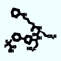 O=C(O)C(F)(F)F.O=C(O)CC[C@@H](NC(=O)CCCCNc1ccccn1)C(=O)NC(CC(=O)O)c1ccc(-c2ccccc2)cc1